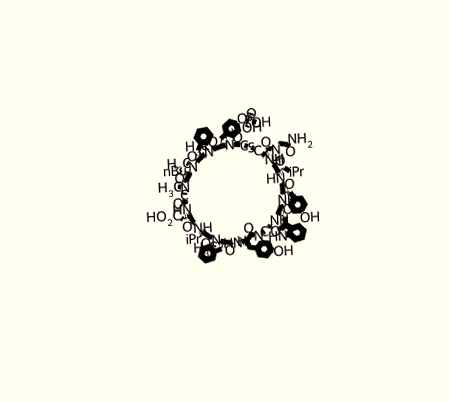 CCCC[C@H]1C(=O)N(C)CC(=O)N[C@@H](CC(=O)O)C(=O)N[C@@H](C(C)C)C(=O)N(C)[C@@H](Cc2ccccc2)C(=O)N[C@H]2Cc3ccc(O)cc3N(CC(=O)N[C@@H](Cc3c[nH]c4ccccc34)C(=O)N[C@@H](Cc3ccc(O)cc3)C(=O)N[C@@H](CC(C)C)C(=O)N[C@H](C(=O)NCC(N)=O)CSCC(=O)N[C@@H](Cc3ccc(OP(=O)(O)O)cc3)C(=O)N(C)[C@@H](Cc3ccccc3)C(=O)N1C)C2=O